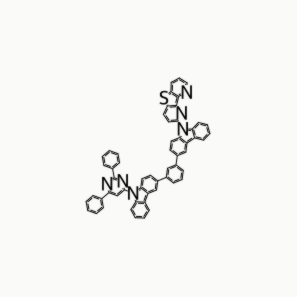 c1ccc(-c2cc(-n3c4ccccc4c4cc(-c5cccc(-c6ccc7c(c6)c6ccccc6n7-c6ccc7sc8cccnc8c7n6)c5)ccc43)nc(-c3ccccc3)n2)cc1